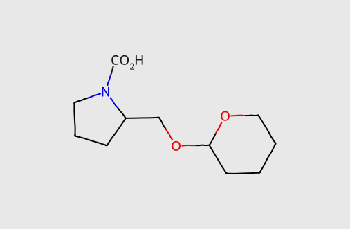 O=C(O)N1CCCC1COC1CCCCO1